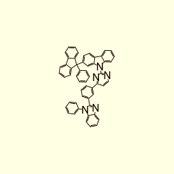 c1ccc(-n2c(-c3cccc(-c4ccnc(-n5c6ccccc6c6ccc(C7(c8ccccc8)c8ccccc8-c8ccccc87)cc65)n4)c3)nc3ccccc32)cc1